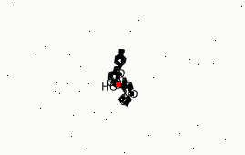 C#CC1CCC(CCC2CC[N@@+]([O-])(C(=O)O)C(N3CC4=CN(C(=O)N5CCOCC5)C=CN4C3)C2=O)CC1